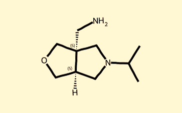 CC(C)N1C[C@H]2COC[C@@]2(CN)C1